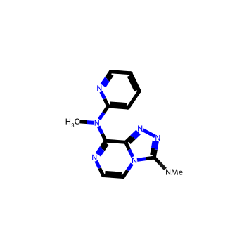 CNc1nnc2c(N(C)c3ccccn3)nccn12